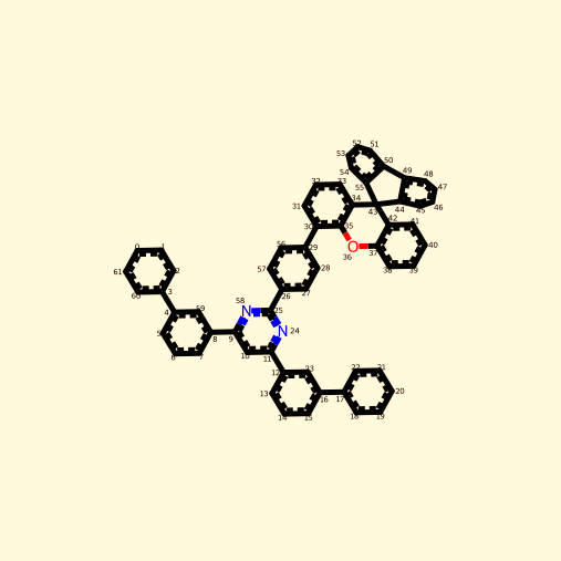 c1ccc(-c2cccc(-c3cc(-c4cccc(-c5ccccc5)c4)nc(-c4ccc(-c5cccc6c5Oc5ccccc5C65c6ccccc6-c6ccccc65)cc4)n3)c2)cc1